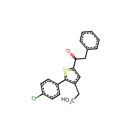 O=C(O)Cc1cc(C(=O)Cc2ccccc2)sc1-c1ccc(Cl)cc1